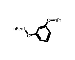 [CH2]CCOc1cccc(OCCCCC)c1